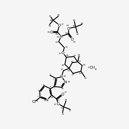 C.Cc1c(-c2ccc(Cl)nc2C(=O)OC(C)(C)C)cnn1CC12CC(C)CC(C)(CC(OCCN(C(=O)OC(C)(C)C)C(=O)OC(C)(C)C)C1)C2